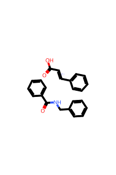 O=C(NCc1ccccc1)c1ccccc1.O=C(O)/C=C/c1ccccc1